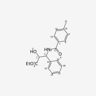 CCOC(=O)C(O)C(NC(=O)c1ccc(C)cc1)c1ccccc1